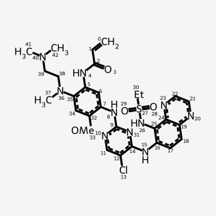 C=CC(=O)Nc1cc(Nc2ncc(Cl)c(Nc3ccc4nccnc4c3NS(=O)(=O)CC)n2)c(OC)cc1N(C)CCN(C)C